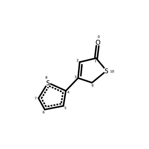 O=C1C=C(c2cccs2)CS1